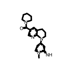 Cn1ccc(N2CCCc3cc(C(=O)N4CCCCC4)cnc32)cc1=N